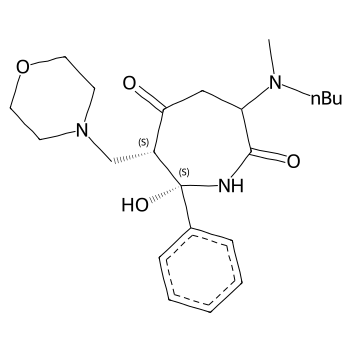 CCCCN(C)C1CC(=O)[C@@H](CN2CCOCC2)[C@](O)(c2ccccc2)NC1=O